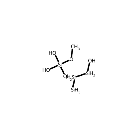 CO[Si](O)(O)O.O[SiH2][SiH2][SiH3]